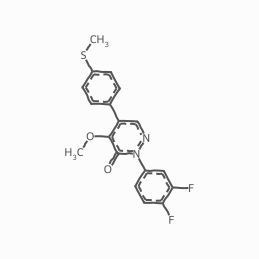 COc1c(-c2ccc(SC)cc2)cnn(-c2ccc(F)c(F)c2)c1=O